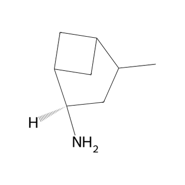 CC1C[C@@H](N)C2CC1C2